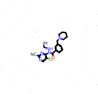 CC(C)CNN(C(=O)c1cccc(CN2CCCCC2)c1)c1nc(C#N)ncc1Cl